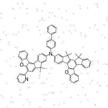 CC1(C)c2cc(N(c3ccc(-c4ccccc4)cc3)c3ccc4c(c3)C(C)(C)c3c5c(c6c(oc7ccccc76)c3-4)-c3ccccc3C5(C)C)ccc2-c2c1cc(-c1ccccn1)c1oc3ccccc3c21